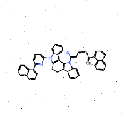 C=C(/C=C\C=C(/N)N1C2=C(CCc3c2c2ccccc2n3-c2cccc(-c3cccc4ccccc34)n2)C2C=CC=CC21)c1cccc2ccccc12